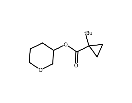 CC(C)(C)C1(C(=O)OC2CCCOC2)CC1